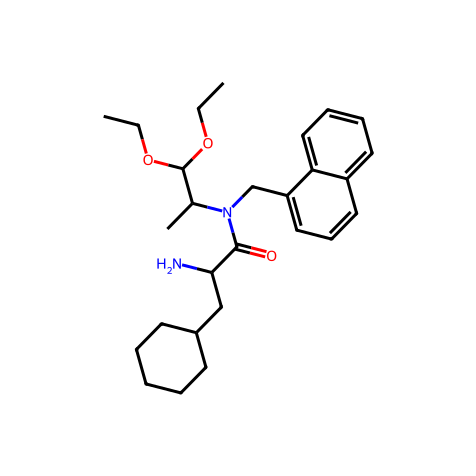 CCOC(OCC)C(C)N(Cc1cccc2ccccc12)C(=O)C(N)CC1CCCCC1